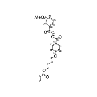 C=CC(=O)OCCCCOc1ccc(C(=O)OOC(=O)c2cccc(OC)c2)cc1